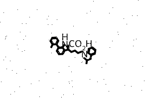 Cc1ccccc1-c1cccc2c(CCCCN3CC(C)Cc4ccccc43)c(C(=O)O)[nH]c12